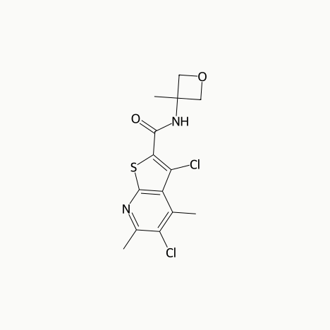 Cc1nc2sc(C(=O)NC3(C)COC3)c(Cl)c2c(C)c1Cl